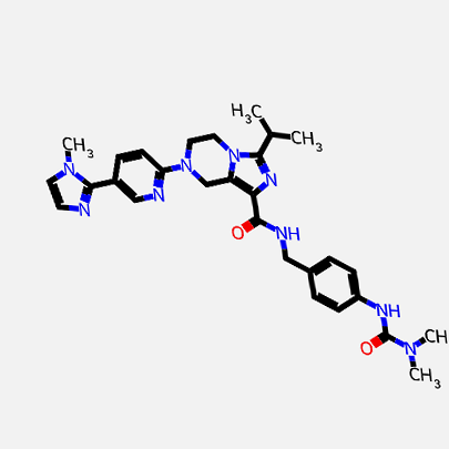 CC(C)c1nc(C(=O)NCc2ccc(NC(=O)N(C)C)cc2)c2n1CCN(c1ccc(-c3nccn3C)cn1)C2